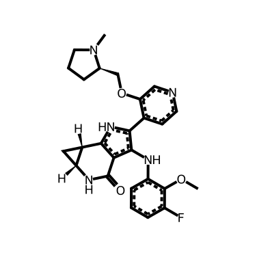 COc1c(F)cccc1Nc1c(-c2ccncc2OC[C@H]2CCCN2C)[nH]c2c1C(=O)N[C@@H]1C[C@H]21